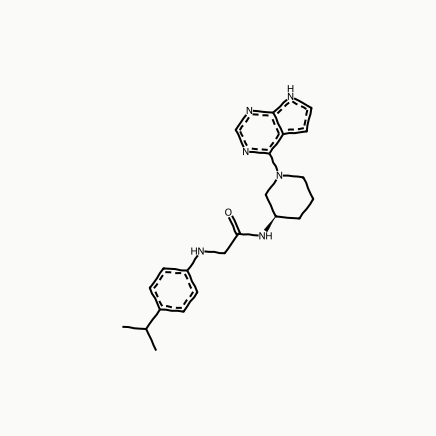 CC(C)c1ccc(NCC(=O)N[C@@H]2CCCN(c3ncnc4[nH]ccc34)C2)cc1